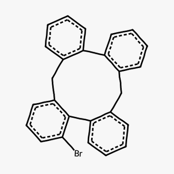 Brc1cccc2c1-c1ccccc1Cc1ccccc1-c1ccccc1C2